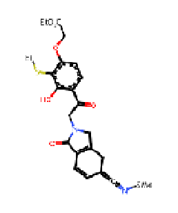 CCOC(=O)COc1ccc(C(=O)CN2CC3=C(C=CC(=C=NSC)C3)C2=O)c(O)c1SCC